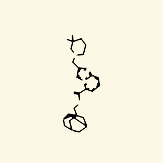 O=C(NCC12CC3CC(CC(C3)C1)C2)c1cccc2nc(CN3CCCC(F)(F)C3)cn12